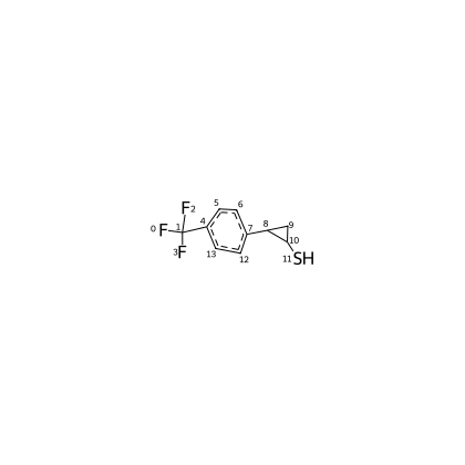 FC(F)(F)c1ccc(C2CC2S)cc1